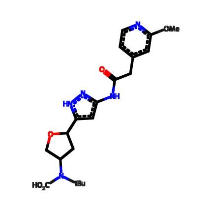 COc1cc(CC(=O)Nc2cc(C3CC(N(C(=O)O)C(C)(C)C)CO3)[nH]n2)ccn1